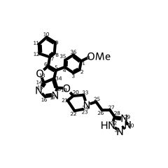 COc1ccc(-c2c(-c3ccccc3)oc3ncnc(OC4CCCN(CCCc5nnn[nH]5)C4)c23)cc1